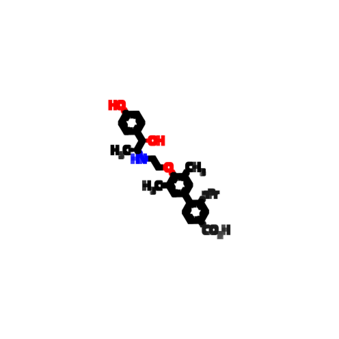 CCCc1cc(C(=O)O)ccc1-c1cc(C)c(OCCN[C@H](C)[C@@H](O)c2ccc(O)cc2)c(C)c1